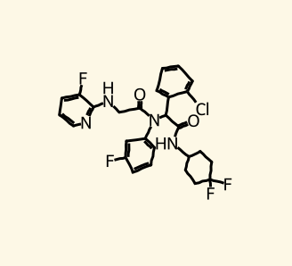 O=C(NC1CCC(F)(F)CC1)C(c1ccccc1Cl)N(C(=O)CNc1ncccc1F)c1cccc(F)c1